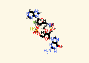 Nc1nc2c(ncn2[C@@H]2O[C@@H]3COP(=O)(S)O[C@H]4[C@@H](F)[C@H](n5cnc6cncnc65)O[C@@H]4CNS(=O)(=O)O[C@@H]2[C@@H]3OCC(F)(F)F)c(=O)[nH]1